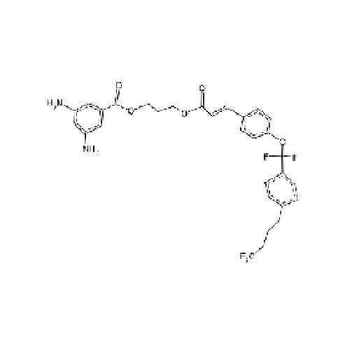 Nc1cc(N)cc(C(=O)OCCCOC(=O)/C=C/c2ccc(OC(F)(F)c3ccc(CCCC(F)(F)F)cc3)cc2)c1